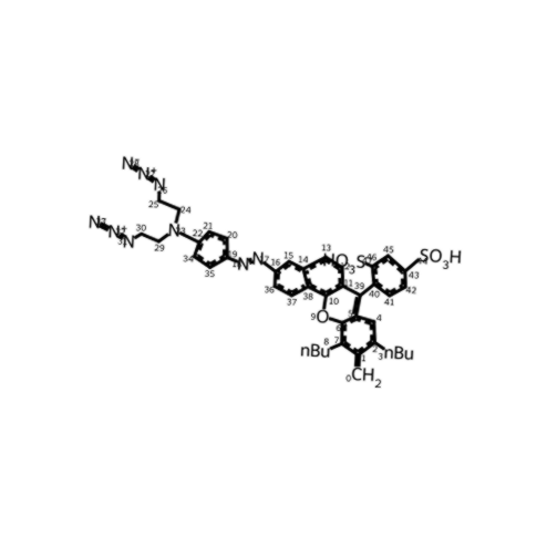 C=c1c(CCCC)cc2c(c1CCCC)Oc1c(ccc3cc(/N=N/c4ccc(N(CCN=[N+]=[N-])CCN=[N+]=[N-])cc4)ccc13)C=2c1ccc(S(=O)(=O)O)cc1S(=O)(=O)O